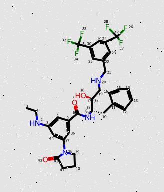 CCNc1cc(C(=O)N[C@@H](Cc2ccccc2)[C@@H](O)CNCc2cc(C(F)(F)F)cc(C(F)(F)F)c2)cc(N2CCCC2=O)c1